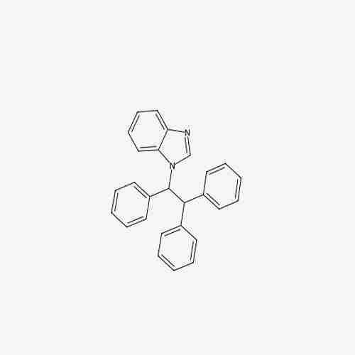 c1ccc(C(c2ccccc2)C(c2ccccc2)n2cnc3ccccc32)cc1